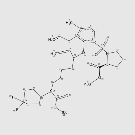 C=CCc1c(C)ccc(S(=O)(=O)N2CCC[C@H]2C(=O)OCCCC)c1OC(C=C)CCCCN(C(=O)OC(C)(C)C)C1CCC(F)(F)CC1